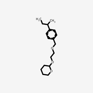 CCC(C)c1ccc(COCCOC2CCCCO2)cc1